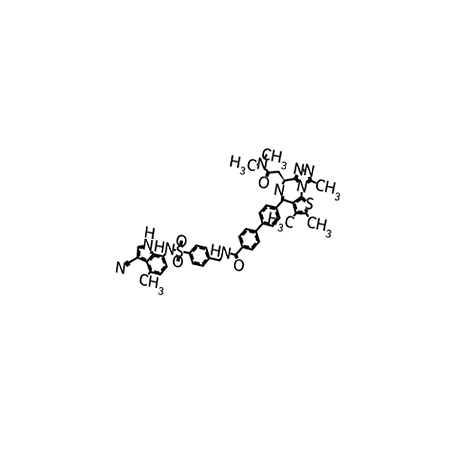 Cc1sc2c(c1C)C(c1ccc(-c3ccc(C(=O)NCc4ccc(S(=O)(=O)Nc5ccc(C)c6c(C#N)c[nH]c56)cc4)cc3)cc1)=N[C@@H](CC(=O)N(C)C)c1nnc(C)n1-2